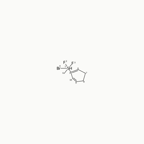 C[SH](F)(F)(Br)C1=CCCC=C1